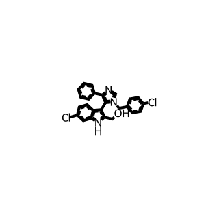 OCc1[nH]c2cc(Cl)ccc2c1-c1c(-c2ccccc2)ncn1Cc1ccc(Cl)cc1